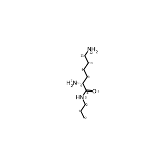 CCCNC(=O)[C@H](N)CCCCN